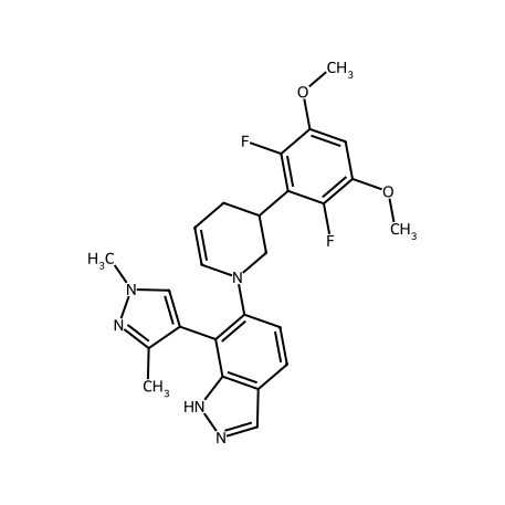 COc1cc(OC)c(F)c(C2CC=CN(c3ccc4cn[nH]c4c3-c3cn(C)nc3C)C2)c1F